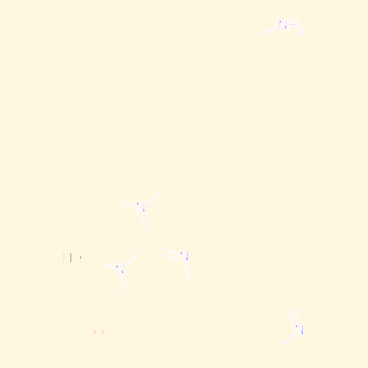 Cn1c(N2CCCO[C@H](c3cccc(C(N)=O)c3)C2)nc(-c2ccncc2)cc1=O